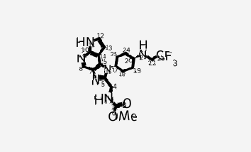 COC(=O)NCc1nc2cnc3[nH]ccc3c2n1[C@H]1CC[C@H](NCC(F)(F)F)CC1